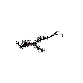 CCCCCCCCCCCC/C=C/CC(CC(=O)OCCOCCN(CCOCCOCCO)c1ccc(/N=N/c2sc(C#N)c(C)c2C#N)c(C)c1)C(=O)O